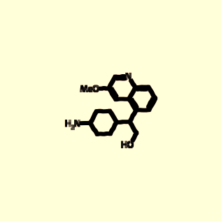 COc1cnc2cccc(C(CO)C3CCC(N)CC3)c2c1